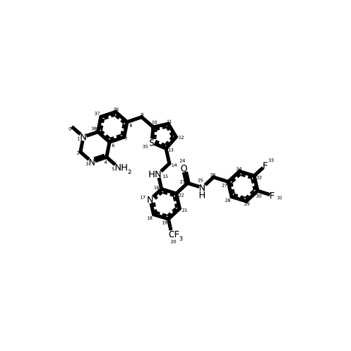 CN1CN=C(N)c2cc(Cc3ccc(CNc4ncc(C(F)(F)F)cc4C(=O)NCc4ccc(F)c(F)c4)s3)ccc21